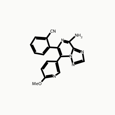 COc1ccc(-c2c(-c3ccccc3C#N)nc(N)c3ncnn23)cn1